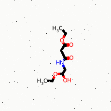 CCOC(=O)CC(=O)NCC(O)OCC